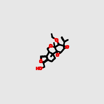 CCOC1C2(C(C)C)OC2C2OC23C2(C)CCc4c(coc4CO)C2COC13C